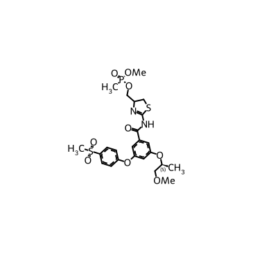 COC[C@H](C)Oc1cc(Oc2ccc(S(C)(=O)=O)cc2)cc(C(=O)NC2=NC(COP(C)(=O)OC)CS2)c1